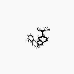 O=C(O)c1ccc2cc(Br)n(C3CCCC(F)C3F)c2c1